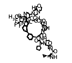 CO[C@@H](C)C1=C(c2c3c4cc(ccc4n2CC(F)(F)F)-c2cccc(c2)C[C@H](NC(=O)[C@H](C2CCCC2)N2CCOC4(CN(C(=O)[C@@H]5N[C@@H]5C5CC5)C4)C2)C(=O)N2CCC[C@H](N2)C(=O)OCC(C)(C)C3)CC(N2CCN3CCOC[C@@H]3C2)C=N1